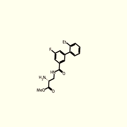 CCc1ccccc1-c1cc(F)cc(C(=O)NC[C@@H](N)C(=O)OC)c1